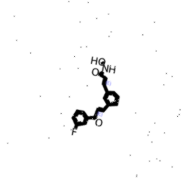 O=C(/C=C/c1cccc(/C=C/C(=O)c2cccc(F)c2)c1)NO